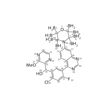 BC1(B)OC(B)(B)C(B)(B)N(c2ccc3c(-c4cc(C(O)c5nccnc5OC)c(Cl)cc4F)ncnc3c2)C1(B)B